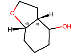 OC1CCC[C@@H]2OCC[C@H]12